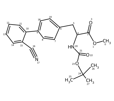 COC(=O)C(Cc1ccc(-c2ccccc2C#N)cc1)NC(=O)OC(C)(C)C